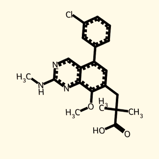 CNc1ncc2c(-c3cccc(Cl)c3)cc(CC(C)(C)C(=O)O)c(OC)c2n1